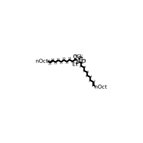 CCCCCCCCC=CCCCCCCCC(=O)[N+](CC)(CC)C(=O)CCCCCCCC=CCCCCCCCC.[Cl-]